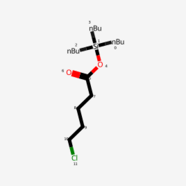 CCCC[Si](CCCC)(CCCC)OC(=O)CCCCCl